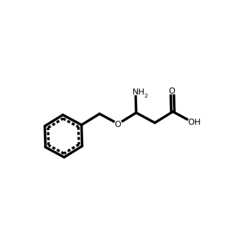 NC(CC(=O)O)OCc1ccccc1